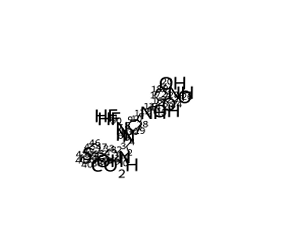 CN(CCCn1nnc2cc(CNC[C@H](O)c3ccc(O)c4c3OCC(=O)N4)ccc21)C1CCC(C2([C@](O)(C(=O)O)c3cccs3)CCCC2)CC1.F.F